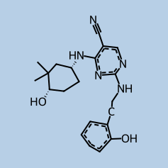 CC1(C)C[C@H](Nc2nc(NCCc3ccccc3O)ncc2C#N)CC[C@@H]1O